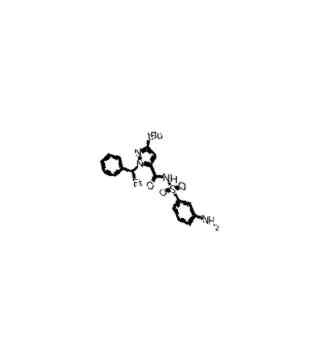 CCC(c1ccccc1)n1nc(C(C)(C)C)cc1C(=O)NS(=O)(=O)c1cccc(N)c1